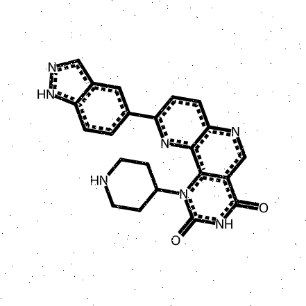 O=c1[nH]c(=O)n(C2CCNCC2)c2c1cnc1ccc(-c3ccc4[nH]ncc4c3)nc12